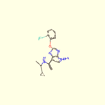 C=C(NC(C)C1CC1)c1c[nH]c2ncc(Oc3ccccc3F)nc12